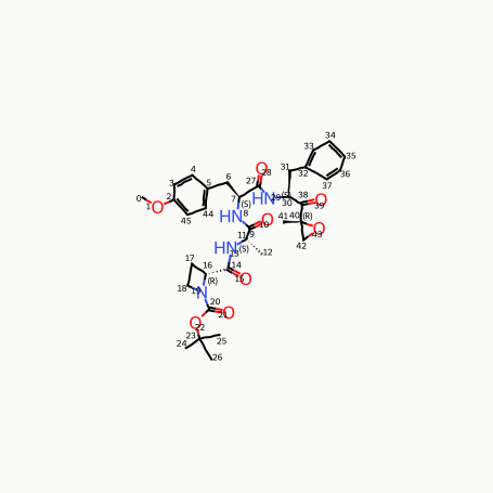 COc1ccc(C[C@H](NC(=O)[C@H](C)NC(=O)[C@H]2CCN2C(=O)OC(C)(C)C)C(=O)N[C@@H](Cc2ccccc2)C(=O)[C@@]2(C)CO2)cc1